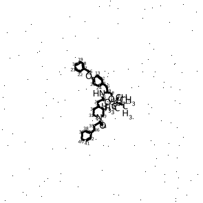 CC(C)(C)[Si](C)(C)OCC(Cc1ccc(OCc2ccccc2)cc1)NC(=O)CC1CCN(C(=O)CCC2=CCCC=C2)CC1